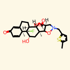 Cc1ccc(CN2C[C@@H]3C[C@H]4[C@@H]5CCC6=CC(=O)C=C[C@]6(C)[C@@]5(F)[C@@H](O)C[C@]4(C)[C@]3(C(=O)O)O2)s1